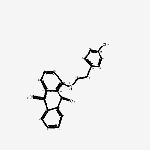 O=C1c2ccccc2C(=O)c2c(NCCc3ccc(Cl)cc3)cccc21